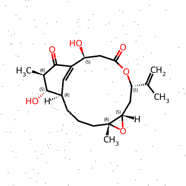 C=C(C)[C@@H]1C[C@@H]2O[C@]2(C)CCC[C@@H]2C=C(C(=O)[C@H](C)[C@H]2O)[C@@H](O)CC(=O)O1